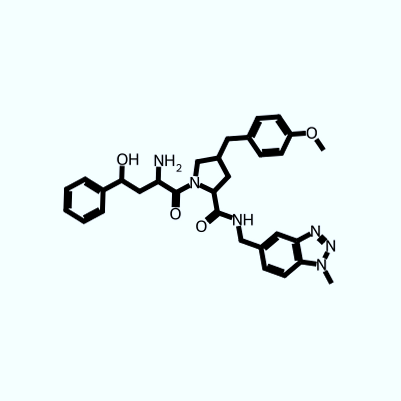 COc1ccc(CC2CC(C(=O)NCc3ccc4c(c3)nnn4C)N(C(=O)C(N)CC(O)c3ccccc3)C2)cc1